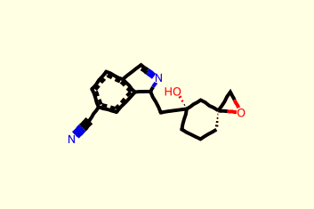 N#Cc1ccc2c(c1)C(C[C@]1(O)CCC[C@@]3(CO3)C1)N=C2